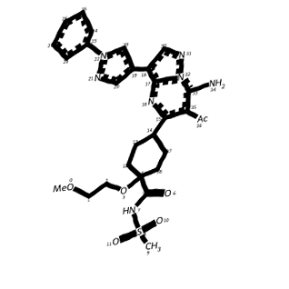 COCCOC1(C(=O)NS(C)(=O)=O)CCC(c2nc3c(-c4cnn(-c5ccccc5)c4)cnn3c(N)c2C(C)=O)CC1